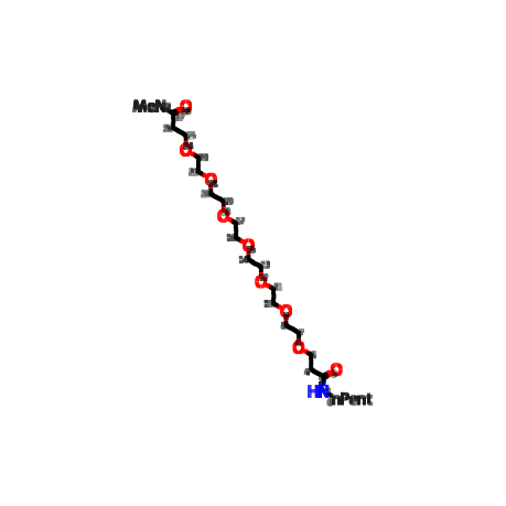 CCCCCNC(=O)CCOCCOCCOCCOCCOCCOCCOCCC(=O)NC